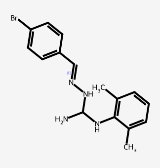 Cc1cccc(C)c1NC(N)N/N=C/c1ccc(Br)cc1